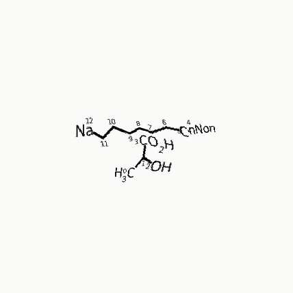 CC(O)C(=O)O.CCCCCCCCCCCCCCC[CH2][Na]